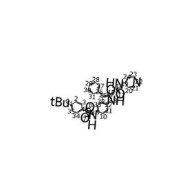 CC(C)(C)c1ccc(S(=O)(=O)Nc2ccc3[nH]c(OC(=O)Nc4ccncc4)c(-c4ccccc4)c3c2)cc1